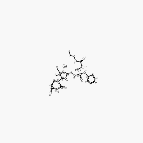 CCCOC(=O)[C@H](C)N[P@](=O)(OCC1O[C@@H](n2ccc(=O)[nH]c2=O)[C@](C)(F)[C@@H]1O)Oc1ccccc1